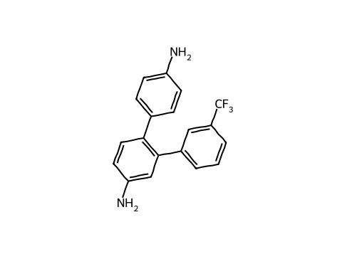 Nc1ccc(-c2ccc(N)cc2-c2cccc(C(F)(F)F)c2)cc1